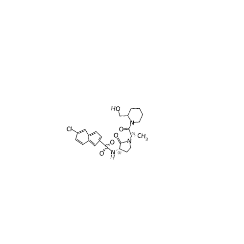 C[C@@H](C(=O)N1CCCCC1CO)N1CC[C@H](NS(=O)(=O)c2ccc3cc(Cl)ccc3c2)C1=O